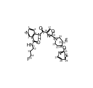 O=C(Nc1ccncc1C(=O)NCCCF)c1coc(N2CC[C@@H](Oc3ncccn3)[C@@H](F)C2)n1